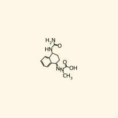 CN(N=C1CCC(NC(N)=O)c2ccccc21)C(=O)O